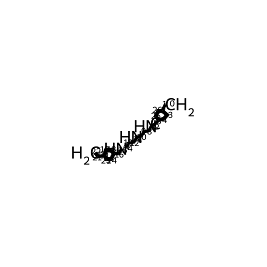 C=Cc1ccc(CNCCCNCCCNCc2ccc(C=C)cc2)cc1